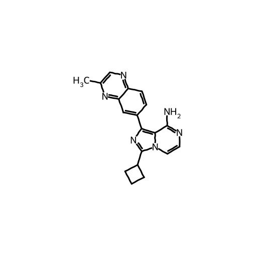 Cc1cnc2ccc(-c3nc(C4CCC4)n4ccnc(N)c34)cc2n1